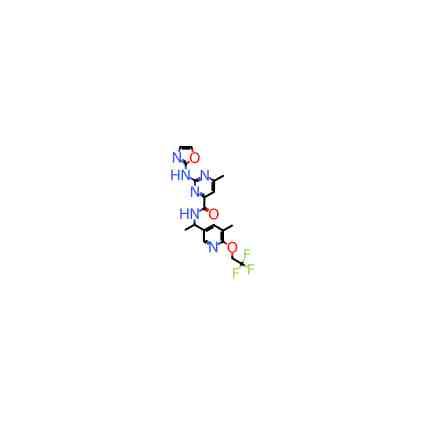 Cc1cc(C(=O)NC(C)c2cnc(OCC(F)(F)F)c(C)c2)nc(Nc2ncco2)n1